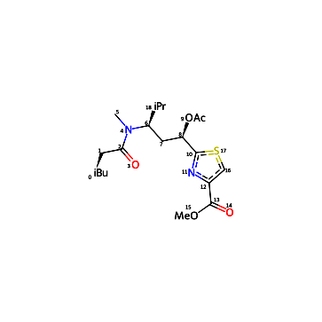 CC[C@H](C)CC(=O)N(C)[C@H](C[C@@H](OC(C)=O)c1nc(C(=O)OC)cs1)C(C)C